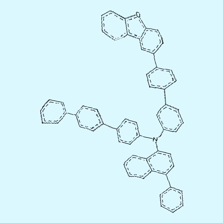 c1ccc(-c2ccc(-c3ccc(N(c4cccc(-c5ccc(-c6ccc7oc8ccccc8c7c6)cc5)c4)c4ccc(-c5ccccc5)c5ccccc45)cc3)cc2)cc1